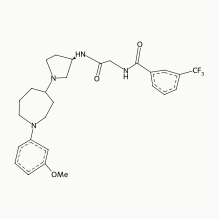 COc1cccc(N2CCCC(N3CC[C@@H](NC(=O)CNC(=O)c4cccc(C(F)(F)F)c4)C3)CC2)c1